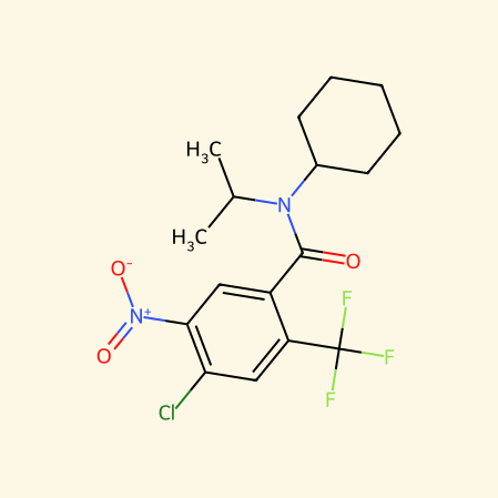 CC(C)N(C(=O)c1cc([N+](=O)[O-])c(Cl)cc1C(F)(F)F)C1CCCCC1